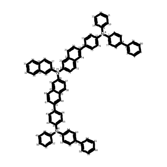 c1ccc(-c2ccc(N(c3ccccc3)c3ccc(-c4ccc5cc(N(c6ccc7ccccc7c6)c6ccc7cc(-c8ccc(N(c9ccccc9)c9ccc(-c%10ccccc%10)cc9)cc8)ccc7c6)ccc5c4)cc3)cc2)cc1